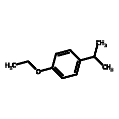 CCOc1ccc([C](C)C)cc1